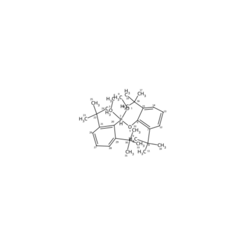 CO[PH](OC)(Oc1c(C(C)(C)C)cccc1C(C)(C)C)c1c(C(C)(C)C)cccc1C(C)(C)C